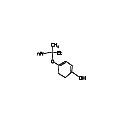 CCCC(C)(CC)OC1=CC=C(O)CC1